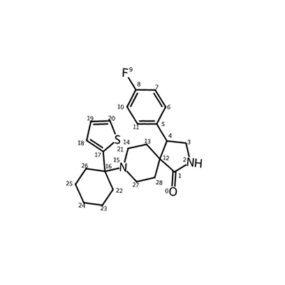 O=C1NCC(c2ccc(F)cc2)C12CCN(C1(c3cccs3)CCCCC1)CC2